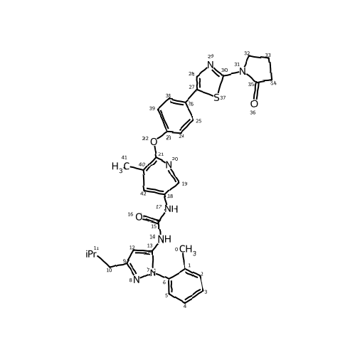 Cc1ccccc1-n1nc(CC(C)C)cc1NC(=O)Nc1cnc(Oc2ccc(-c3cnc(N4CCCC4=O)s3)cc2)c(C)c1